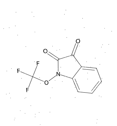 O=C1C(=O)N(OC(F)(F)F)c2ccccc21